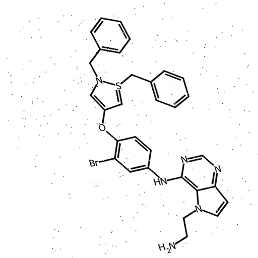 NCCn1ccc2ncnc(Nc3ccc(OC4=CN(Cc5ccccc5)S(Cc5ccccc5)=C4)c(Br)c3)c21